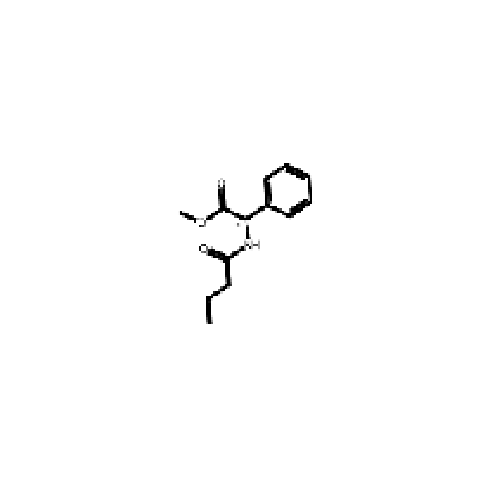 CCCC(=O)N[C@@H](C(=O)OC)c1ccccc1